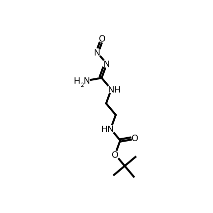 CC(C)(C)OC(=O)NCCN/C(N)=N/N=O